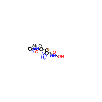 COc1cc(-c2csc3c(C=CC(=O)NCCO)cnc(N)c23)ccc1NC(=O)c1cc2ccccc2n1C